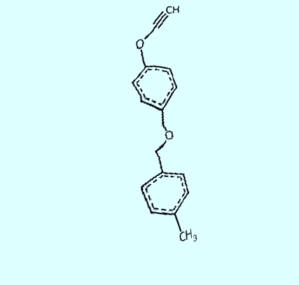 C#COc1ccc(OCc2ccc(C)cc2)cc1